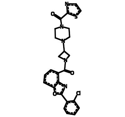 O=C(c1nccs1)N1CCN(C2CN(C(=O)c3cccc4oc(-c5ccccc5Cl)nc34)C2)CC1